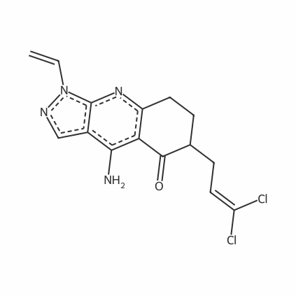 C=Cn1ncc2c(N)c3c(nc21)CCC(CC=C(Cl)Cl)C3=O